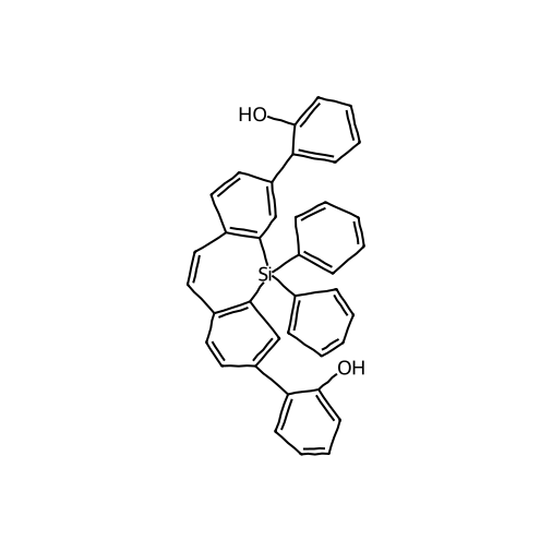 Oc1ccccc1-c1ccc2c(c1)[Si](c1ccccc1)(c1ccccc1)c1cc(-c3ccccc3O)ccc1C=C2